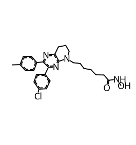 Cc1ccc(-c2nc3c(nc2-c2ccc(Cl)cc2)N(CCCCCCC(=O)NO)CCC3)cc1